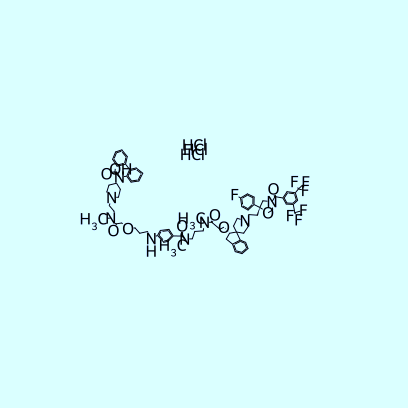 CN(CCN1CCC(N(C(=O)O)c2ccccc2-c2ccccc2)CC1)C(=O)COCCCNc1ccc(C(=O)N(C)CCCN(C)C(=O)CO[C@H]2Cc3ccccc3C23CCN(CC[C@@]2(c4ccc(F)cc4)CN(C(=O)c4cc(C(F)(F)F)cc(C(F)(F)F)c4)CO2)CC3)cc1.Cl.Cl.Cl